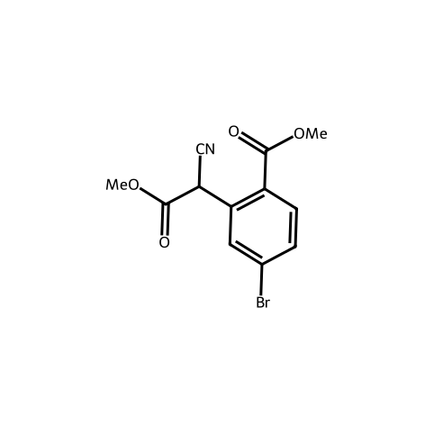 COC(=O)c1ccc(Br)cc1C(C#N)C(=O)OC